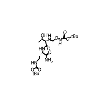 C[C@@H](O)[C@H](NCONC(=O)OC(C)(C)C)C(=O)N[C@@H](CCNC(=O)OC(C)(C)C)C(N)=O